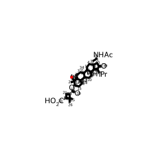 CC(=O)NCC[C@@]12CC[C@]3(C)[C@H](CC[C@@H]4[C@@]5(C)CC[C@H](OC(=O)[C@H]6C[C@@H](C(=O)O)C6(C)C)C(C)(C)[C@@H]5CC[C@]43C)C1=C(C(C)C)C(=O)C2